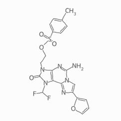 Cc1ccc(S(=O)(=O)OCCn2c(=O)n(C(F)F)c3c2nc(N)n2cc(-c4ccco4)nc32)cc1